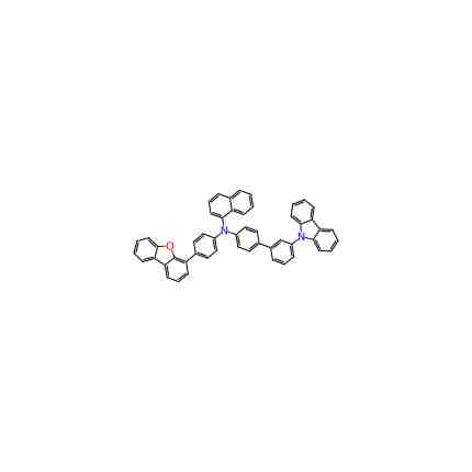 c1cc(-c2ccc(N(c3ccc(-c4cccc5c4oc4ccccc45)cc3)c3cccc4ccccc34)cc2)cc(-n2c3ccccc3c3ccccc32)c1